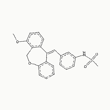 COc1cccc2c1COc1ccccc1/C2=C\c1cccc(NS(C)(=O)=O)c1